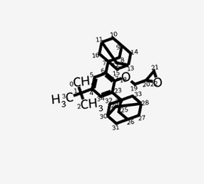 CC(C)(C)c1cc(C23CC4CC(CC(C4)C2)C3)c(OCC2CO2)c(C23CC4CC(CC(C4)C2)C3)c1